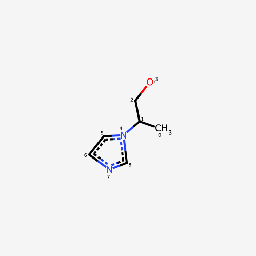 CC(C[O])n1ccnc1